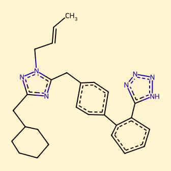 CC=CCn1nc(CC2CCCCC2)nc1Cc1ccc(-c2ccccc2-c2nnn[nH]2)cc1